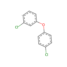 Clc1[c]ccc(Oc2ccc(Cl)cc2)c1